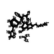 CCN(CC)CC.[N-]=[N+]=NCc1ccc2c(Br)cc3c(c2c1)NC(=O)CC(=O)N3c1cccc(-c2noc(=S)[nH]2)c1